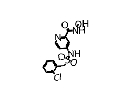 O=C(NO)c1cc(NS(=O)(=O)Cc2ccccc2Cl)ccn1